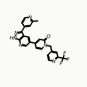 Cc1cc(-c2n[nH]c3ncc(-c4ccn(Cc5ccnc(C(F)(F)F)c5)c(=O)c4)cc23)ccn1